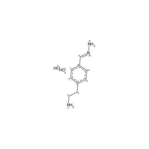 Cl.Cl.NCCc1ccc(C=NN)cc1